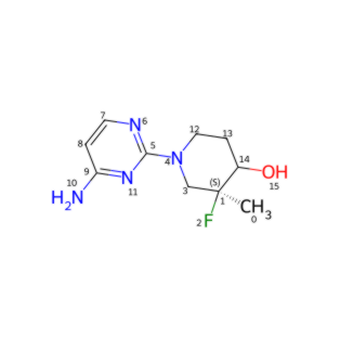 C[C@]1(F)CN(c2nccc(N)n2)CCC1O